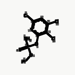 CC(C)OP(N)(=S)Oc1nc(Cl)cc(Cl)c1Cl